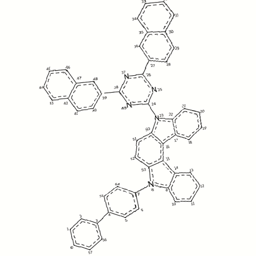 c1ccc(-c2ccc(-n3c4ccccc4c4c5c6ccccc6n(-c6nc(-c7ccc8ccccc8c7)nc(-c7ccc8ccccc8c7)n6)c5ccc43)cc2)cc1